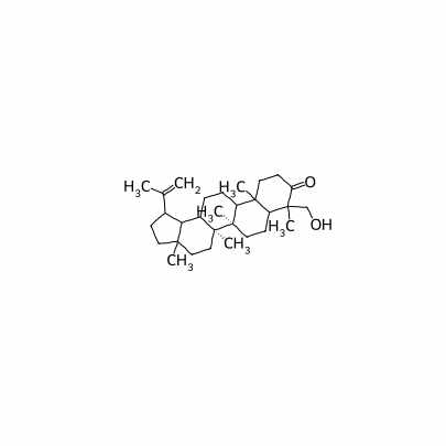 C=C(C)C1CCC2(C)CC[C@@]3(C)C(CCC4C5(C)CCC(=O)C(C)(CO)C5CC[C@]43C)C12